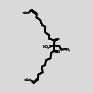 CCCCCCCC/C=C\CCCCCCCC(=O)C(CCN)(C(=O)O)C(=O)CCCCCCC/C=C\CCCCCCCC